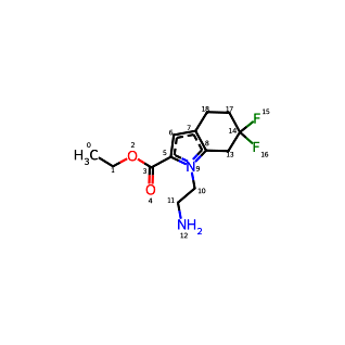 CCOC(=O)c1cc2c(n1CCN)CC(F)(F)CC2